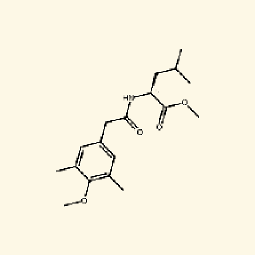 COC(=O)[C@H](CC(C)C)NC(=O)Cc1cc(C)c(OC)c(C)c1